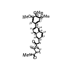 CNC(=O)C1CCN(C(=O)Cc2ccc3cc(-c4cc(OC)c(OC)c(OC)c4)ccc3c2)C1C